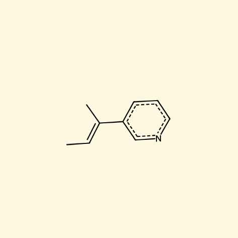 CC=C(C)c1cccnc1